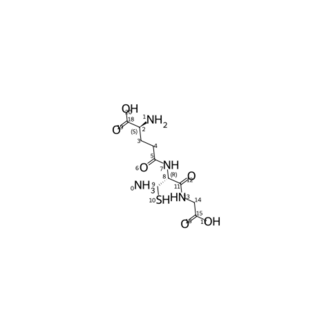 N.N[C@@H](CCC(=O)N[C@@H](CS)C(=O)NCC(=O)O)C(=O)O